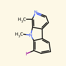 Cc1nccc2c3cccc(I)c3n(C)c12